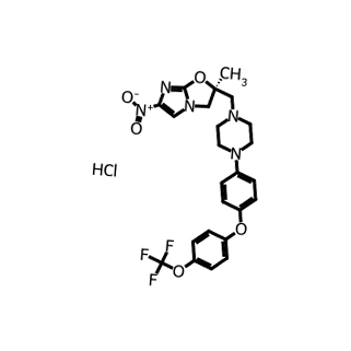 C[C@]1(CN2CCN(c3ccc(Oc4ccc(OC(F)(F)F)cc4)cc3)CC2)Cn2cc([N+](=O)[O-])nc2O1.Cl